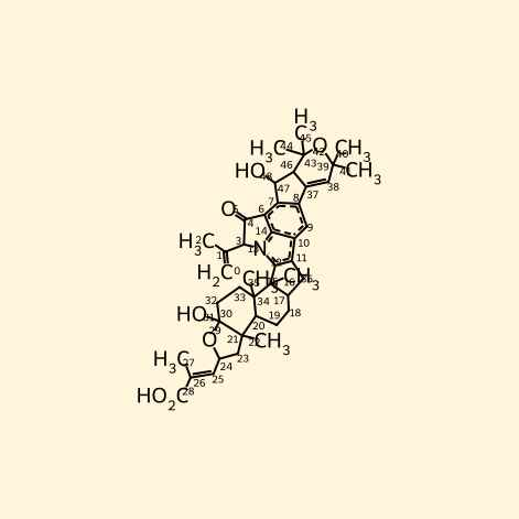 C=C(C)C1C(=O)c2c3c(cc4c5c(n1c24)C1(C)C(CCC2C4(C)CC(/C=C(\C)C(=O)O)OC4(O)CCC21C)C5)C1=CC(C)(C)OC(C)(C)C1C3O